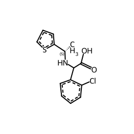 C[C@H](NC(C(=O)O)c1ccccc1Cl)c1cccs1